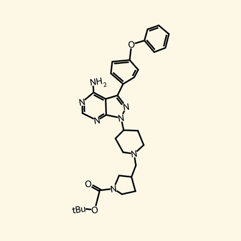 CC(C)(C)OC(=O)N1CCC(CN2CCC(n3nc(-c4ccc(Oc5ccccc5)cc4)c4c(N)ncnc43)CC2)C1